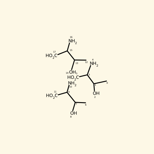 CC(O)C(N)C(=O)O.CC(O)C(N)C(=O)O.CC(O)C(N)C(=O)O